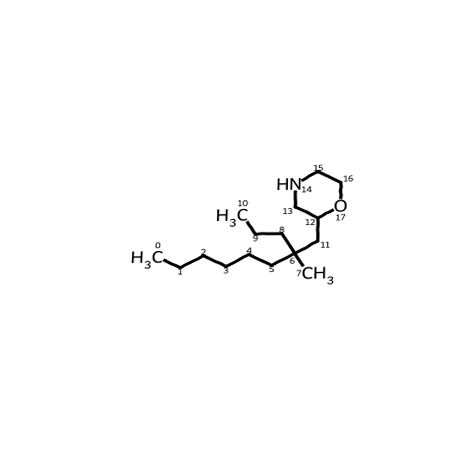 CCCCCCC(C)(CCC)CC1CNCCO1